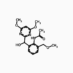 COCc1cccc(C(O)c2nc(OC)cc(OC)n2)c1NC(C)=O